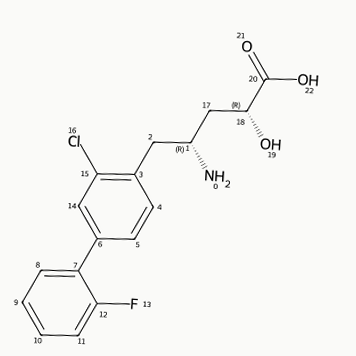 N[C@H](Cc1ccc(-c2ccccc2F)cc1Cl)C[C@@H](O)C(=O)O